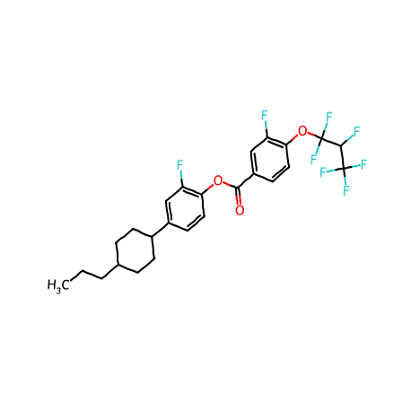 CCCC1CCC(c2ccc(OC(=O)c3ccc(OC(F)(F)C(F)C(F)(F)F)c(F)c3)c(F)c2)CC1